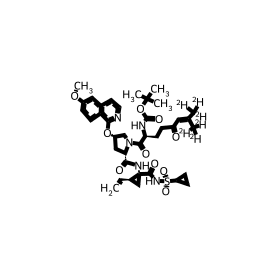 [2H]C([2H])([2H])C(=CC(=O)CC[C@H](NC(=O)OC(C)(C)C)C(=O)N1C[C@H](Oc2nccc3cc(OC)ccc23)C[C@H]1C(=O)N[C@]1(C(=O)NS(=O)(=O)C2CC2)C[C@H]1C=C)C([2H])([2H])[2H]